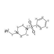 CC(C)CN1CCN(S(=O)(=O)c2ccccc2)CC1